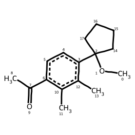 COC1(c2ccc(C(C)=O)c(C)c2C)CCCC1